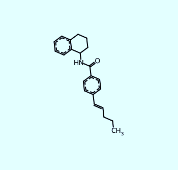 CCC/C=C/c1ccc(C(=O)NC2CCCc3ccccc32)cc1